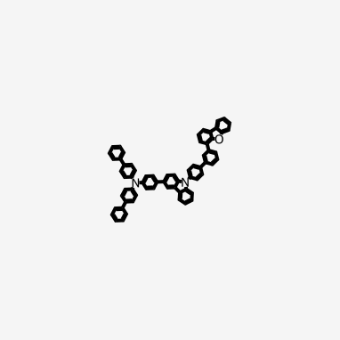 c1ccc(-c2ccc(N(c3ccc(-c4ccccc4)cc3)c3ccc(-c4ccc5c(c4)c4ccccc4n5-c4ccc(-c5cccc(-c6cccc7c6oc6ccccc67)c5)cc4)cc3)cc2)cc1